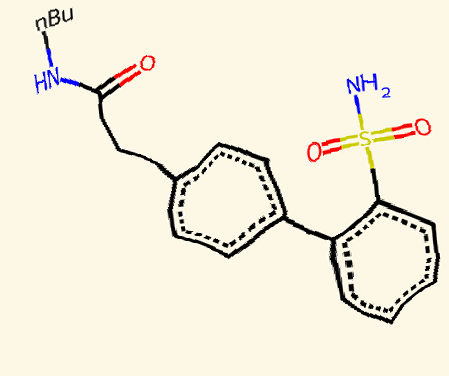 CCCCNC(=O)Cc1ccc(-c2ccccc2S(N)(=O)=O)cc1